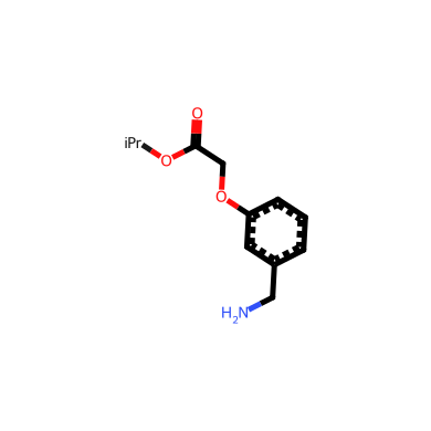 CC(C)OC(=O)COc1cccc(CN)c1